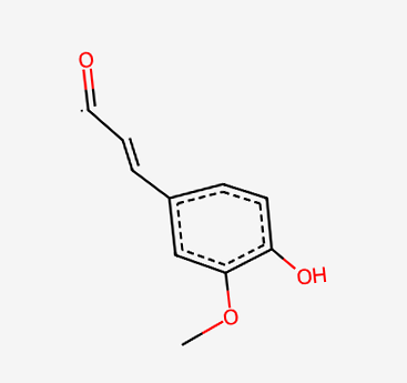 COc1cc(C=C[C]=O)ccc1O